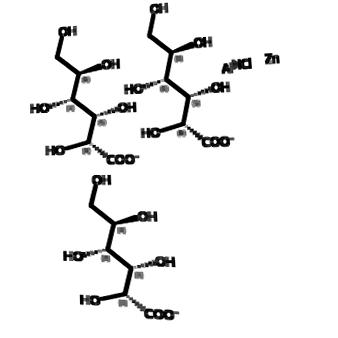 Cl.O=C([O-])[C@H](O)[C@@H](O)[C@H](O)[C@H](O)CO.O=C([O-])[C@H](O)[C@@H](O)[C@H](O)[C@H](O)CO.O=C([O-])[C@H](O)[C@@H](O)[C@H](O)[C@H](O)CO.[Al+3].[Zn]